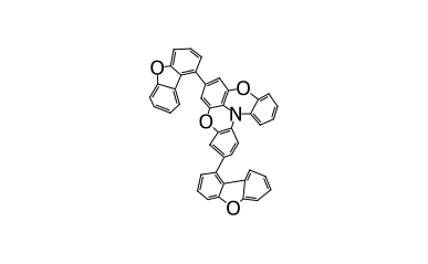 c1ccc2c(c1)Oc1cc(-c3cccc4oc5ccccc5c34)cc3c1N2c1ccc(-c2cccc4oc5ccccc5c24)cc1O3